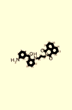 Nc1cccc(C(=O)c2ccccc2NCCCN2C(=O)c3cccc4cccc(c34)C2=O)c1